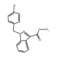 COC(=O)c1nn(Cc2ccc(Cl)cc2)c2ccccc12